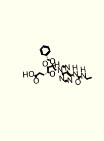 CCNC(=O)Nc1ncnc2c1ncn2[C@@H]1O[C@H](CCC(=O)O)C2O[C@H](c3ccccc3)O[C@@H]21